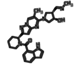 CN=C[C@@H]1CN(c2nc3cc([C@@H]4CCCCN4C(=O)c4cccc5cc[nH]c45)nn3cc2C)C[C@@H]1O